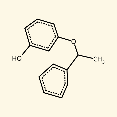 CC(Oc1cccc(O)c1)c1ccccc1